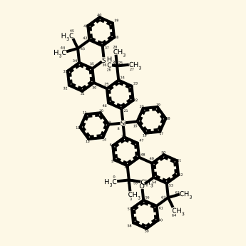 CC(C)(C)c1ccc([Si](c2ccccc2)(c2ccccc2)c2ccc(C(C)(C)C)c(-c3cccc4c3Sc3ccccc3C4(C)C)c2)cc1-c1cccc2c1Oc1ccccc1C2(C)C